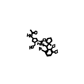 CC(=O)N[C@@H]1C[C@H](CO)[C@H](C(=O)NC(c2c(F)ccc(Cl)c2Cl)C2(C)CCCC2)C1